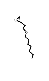 [CH2]CCCCCCOCCC1CO1